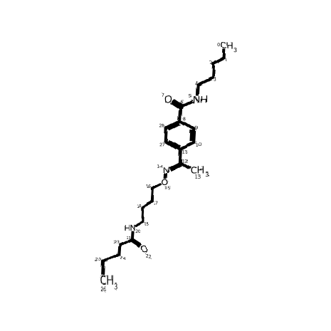 CCCCCNC(=O)c1ccc(/C(C)=N/OCCCCNC(=O)CCCC)cc1